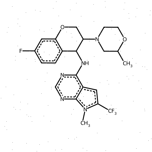 CC1CN(C2COc3cc(F)ccc3C2Nc2ncnc3c2cc(C(F)(F)F)n3C)CCO1